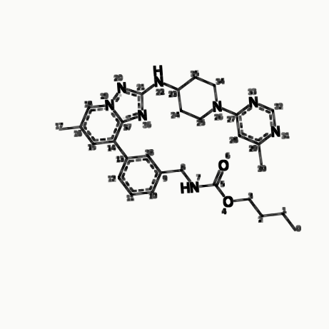 CCCCOC(=O)NCc1cccc(-c2cc(C)cn3nc(NC4CCN(c5cc(C)ncn5)CC4)nc23)c1